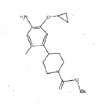 Cc1cc(N)c(OC2CC2)cc1C1CCN(C(=O)OC(C)(C)C)CC1